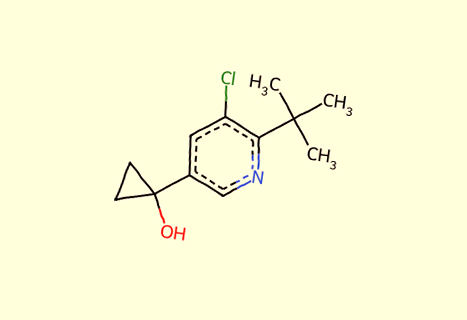 CC(C)(C)c1ncc(C2(O)CC2)cc1Cl